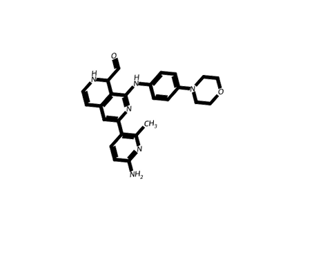 Cc1nc(N)ccc1-c1cc2c(c(Nc3ccc(N4CCOCC4)cc3)n1)C(C=O)NC=C2